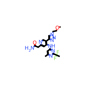 COCCn1cc(-c2cnc(CC(N)=O)cc2Nc2cc(C)nc(C(C)(F)F)n2)nn1